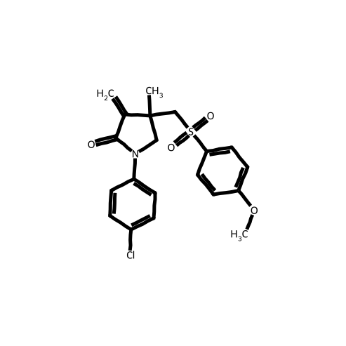 C=C1C(=O)N(c2ccc(Cl)cc2)CC1(C)CS(=O)(=O)c1ccc(OC)cc1